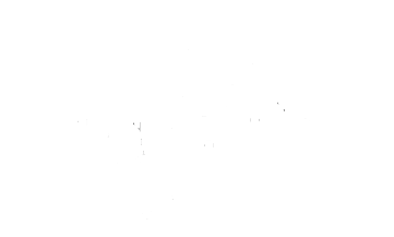 CC(=O)CC1CC(=O)N1CP(C(=O)OCc1ccccc1[N+](=O)[O-])(c1ccccc1)(c1ccccc1)c1ccccc1